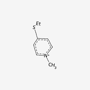 CCSc1cc[n+](C)cc1